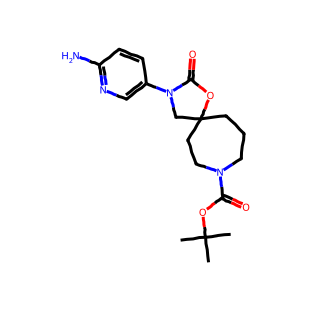 CC(C)(C)OC(=O)N1CCCC2(CC1)CN(c1ccc(N)nc1)C(=O)O2